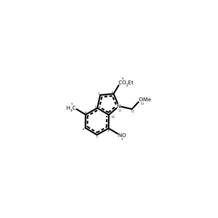 CCOC(=O)c1cc2c(C)ccc(N=O)c2n1COC